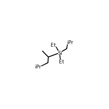 CC[Si](CC)(CC(C)C)C(C)CC(C)C